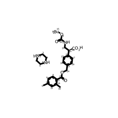 C1CNCCN1.Cc1ccc(C(=O)OCc2ccc([C@@H](CNC(=O)OC(C)(C)C)C(=O)O)cc2)c(C)c1